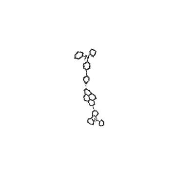 c1ccc(N(c2ccccc2)c2ccc(-c3ccc(-c4cc5ccc6cc(-c7ccc8c(c7)c7ccccc7n8-c7ccccc7)cc7ccc(c4)c5c67)cc3)cc2)cc1